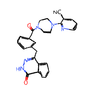 N#Cc1cccnc1N1CCN(C(=O)c2cccc(Cc3n[nH]c(=O)c4ccccc34)c2)CC1